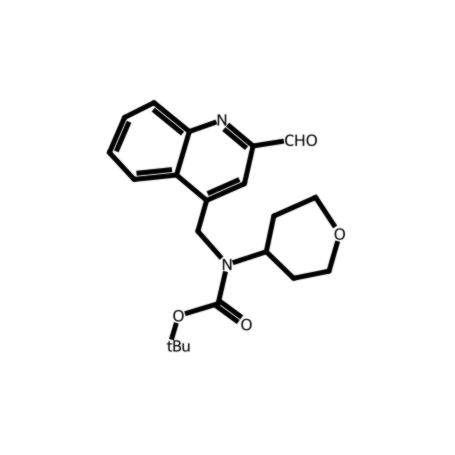 CC(C)(C)OC(=O)N(Cc1cc(C=O)nc2ccccc12)C1CCOCC1